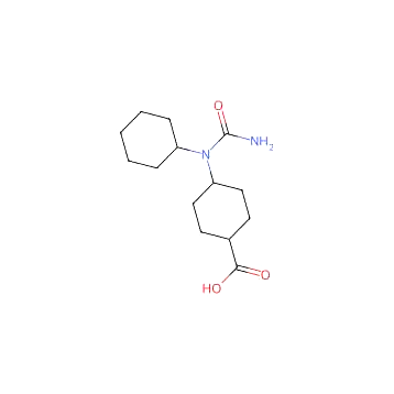 NC(=O)N(C1CCCCC1)C1CCC(C(=O)O)CC1